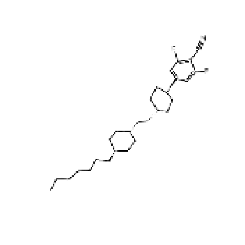 CCCCCCC[C@H]1CC[C@H](CC[C@H]2CC[C@H](c3cc(F)c(C#N)c(F)c3)CC2)CC1